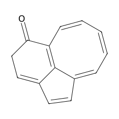 O=C1CC=C2C=CC3=CC=CC=CC1=C32